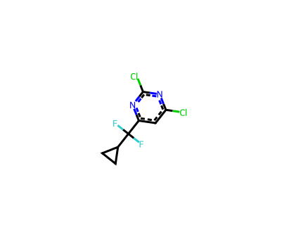 FC(F)(c1cc(Cl)nc(Cl)n1)C1CC1